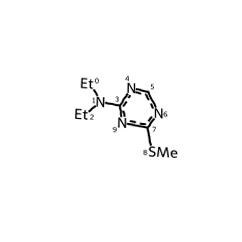 CCN(CC)c1ncnc(SC)n1